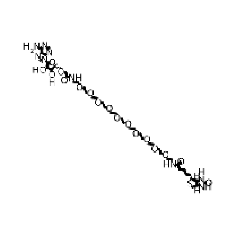 Nc1ncnc2c1ncn2[C@@H]1O[C@H](COCC(=O)NCCOCCOCCOCCOCCOCCOCCOCCOCCOCCOCCNC(=O)CCCC[C@@H]2SC[C@@H]3NC(=O)N[C@@H]32)[C@@H](O)[C@H]1O